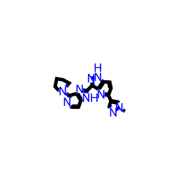 Cn1cc(-c2ccc3[nH]nc(-c4nc5c(N6CCCCC6)nccc5[nH]4)c3n2)cn1